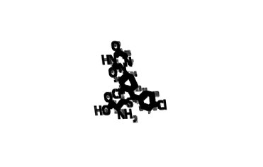 NC(CSC(c1ccc(Cl)cc1)c1ccc(-n2ncc(=O)[nH]c2=O)cc1Cl)C(=O)O